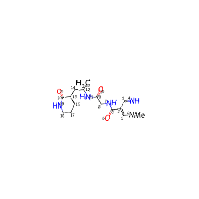 CN/C=C(\C=N)C(=O)NCC(=O)NC(C)CC1CCCNC1=O